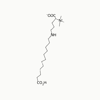 C[N+](C)(C)C(CCCNCCCCCCCCCCCC(=O)O)C(=O)[O-]